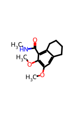 CNC(=O)c1c2c(cc(OC)c1OC)CCCC2